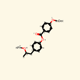 CCCCCCCCCCOc1ccc(C(=O)Oc2ccc(CC(C)OCCC)cc2)cc1